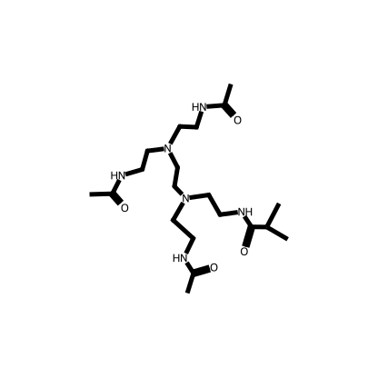 CC(=O)NCCN(CCNC(C)=O)CCN(CCNC(C)=O)CCNC(=O)C(C)C